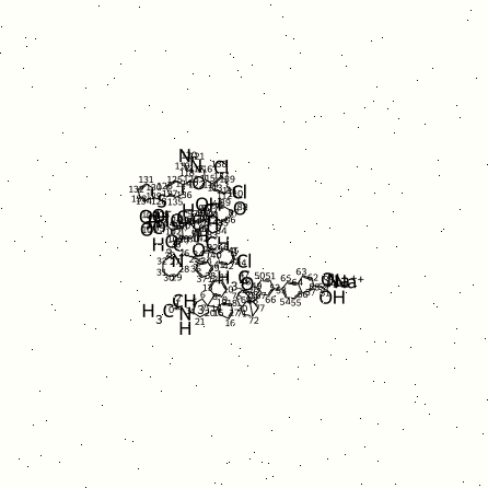 CC(C)NC1CCC(c2ccccc2)(c2ccccc2)CC1.CC(OCCN1CCCCCC1)(c1ccccc1)c1ccc(Cl)cc1.COc1ccc(-c2ccc3cc(C(=O)O)ccc3c2)cc1C12CC3CC(CC(C3)C1)C2.C[C@@H]1C[C@H]2[C@@H]3CCC4=CC(=O)C=C[C@]4(C)[C@@]3(F)[C@@H](O)C[C@]2(C)[C@@]1(O)C(=O)COP(=O)([O-])[O-].Clc1ccc(C(Cn2ccnc2)OCc2ccc(Sc3ccccc3)cc2)c(Cl)c1.[Na+].[Na+]